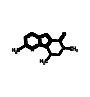 C[C@@H]1CN(C)C(=O)c2cc3ccc(N)nc3n21